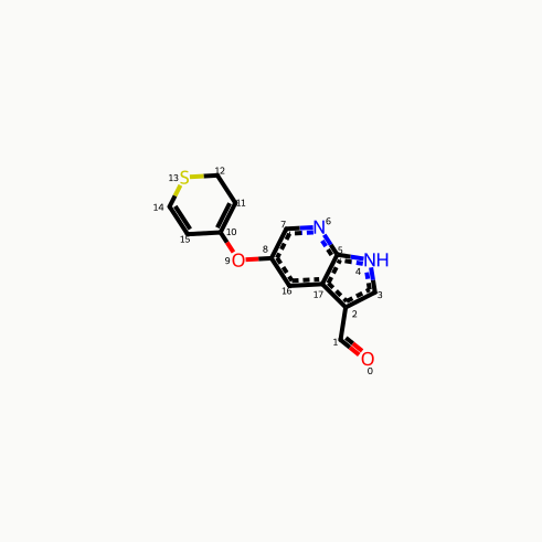 O=Cc1c[nH]c2ncc(OC3=CCSC=C3)cc12